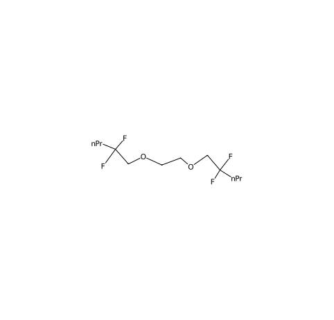 CCCC(F)(F)COCCOCC(F)(F)CCC